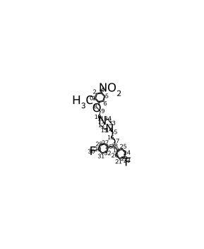 Cc1cc([N+](=O)[O-])ccc1OCCN1CCN(CCCC(c2ccc(F)cc2)c2ccc(F)cc2)CC1